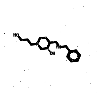 OCCCN1CCC(CNCc2ccccc2)[C@H](O)C1